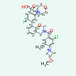 COC1CN(c2cc(Cl)c(C(=O)N3COc4c(cccc4-c4cc(N5C6CCC5COC6)c(C(=O)O)cc4F)C3)cc2C)C1